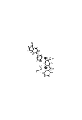 C=CC(=O)Nc1cc(Nc2cc(-c3ccc4c(cnn4C)c3)ncn2)c(OC)cc1N(C)C1CCOCC1